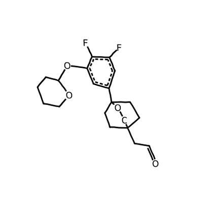 O=CCC12CCC(c3cc(F)c(F)c(OC4CCCCO4)c3)(CC1)OC2